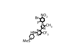 CSN1CCC(Nc2ncc(C(F)(F)F)c(-c3cn(-c4ccc([N+](=O)[O-])c(Br)c4F)c(C)n3)n2)CC1